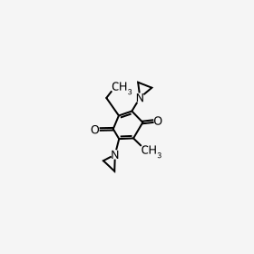 CCC1=C(N2CC2)C(=O)C(C)=C(N2CC2)C1=O